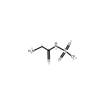 NCC(=O)NS(=O)(=O)C(F)(F)F